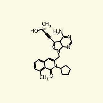 Cc1cccc2cc(CN3N=C(C#C[C@@H](C)O)C4C(N)=NC=NC43)n(C3CCCC3)c(=O)c12